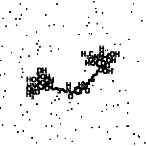 CC(=O)N[C@H]1[C@H]([C@H](O)[C@H](O)CO)O[C@@](OCCCSCCNC(=O)c2ccc(C(=O)NCCSCCCO[C@]3(C(=O)O)C[C@H](O)[C@@H](NC(C)=O)[C@H]([C@H](O)[C@H](O)CO)O3)cc2)(C(=O)O)C[C@@H]1O